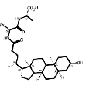 CC(C)[C@H](NC(=O)CC[C@@H](C)[C@H]1CCC2[C@@H]3CC[C@@H]4C[C@H](O)CC[C@]4(C)C3CC[C@@]21C)C(=O)N[C@@H](C)C(=O)O